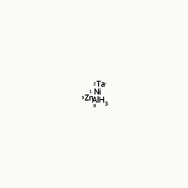 [AlH3].[Ni].[Ta].[Zn]